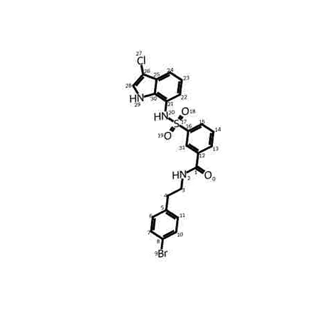 O=C(NCCc1ccc(Br)cc1)c1cccc(S(=O)(=O)Nc2cccc3c(Cl)c[nH]c23)c1